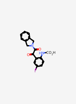 O=C(O)Nc1ccc(I)cc1C(=O)C(=O)N1Cc2ccccc2C1